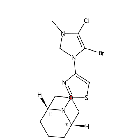 CN1CN(c2csc(N3[C@@H]4CCC[C@H]3COC4)n2)C(Br)=C1Cl